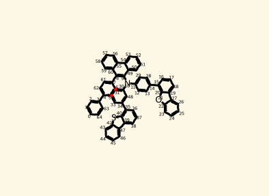 c1ccc(-c2ccc(-c3c(N(c4ccc(-c5cccc6c5oc5ccccc56)cc4)c4cccc(-c5cccc6c5sc5ccccc56)c4)c4ccccc4c4ccccc34)cc2)cc1